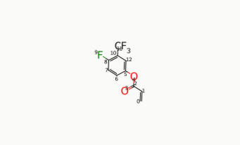 C=CC(=O)Oc1ccc(F)c(C(F)(F)F)c1